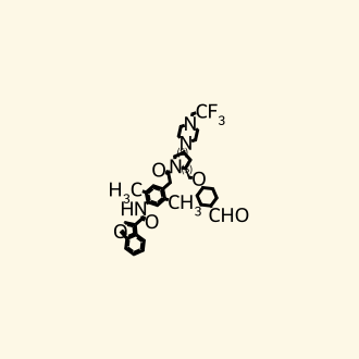 Cc1cc(NC(=O)c2coc3ccccc23)c(C)cc1CC(=O)N1C[C@@H](N2CCN(CC(F)(F)F)CC2)C[C@H]1CO[C@H]1CC[C@H](C=O)CC1